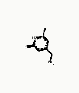 Cc1cc(CN)cc(=O)[nH]1